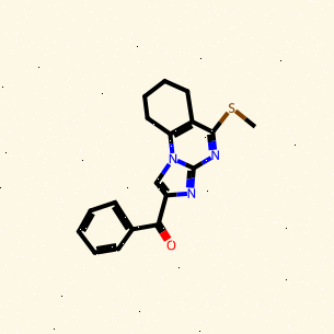 CSc1nc2nc(C(=O)c3ccccc3)cn2c2c1CCCC2